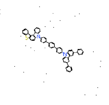 c1ccc(-c2ccc3c(c2)c2cc(-c4ccccc4)ccc2n3-c2ccc(-c3ccc(-c4ccc(-n5c6ccccc6c6c7c(ccc65)sc5ccccc57)cc4)cc3)cc2)cc1